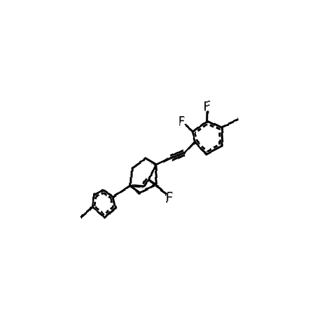 Cc1ccc(C23C=C(F)C(C#Cc4ccc(C)c(F)c4F)(CC2)CC3)cc1